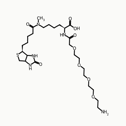 CN(CCCC[C@H](NC(=O)COCCOCCOCCOCCN)C(=O)O)C(=O)CCCC[C@@H]1SCC2NC(=O)NC21